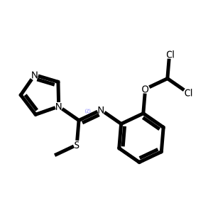 CS/C(=N\c1ccccc1OC(Cl)Cl)n1ccnc1